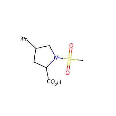 CC(C)C1CC(C(=O)O)N(S(C)(=O)=O)C1